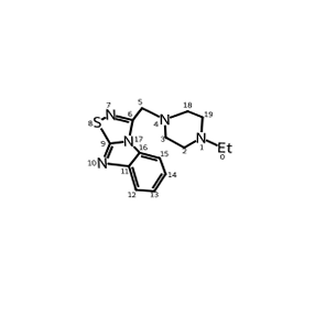 CCN1CCN(Cc2nsc3nc4ccccc4n23)CC1